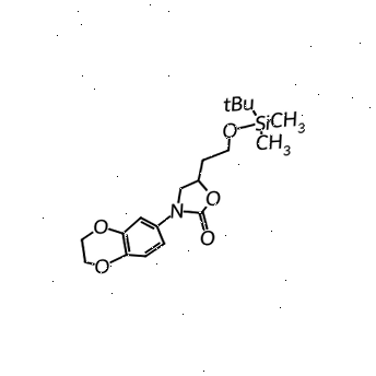 CC(C)(C)[Si](C)(C)OCCC1CN(c2ccc3c(c2)OCCO3)C(=O)O1